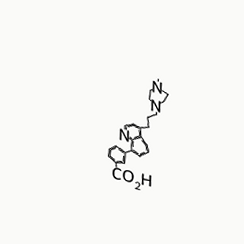 CN1CCN(CCCc2ccnc3c(-c4cccc(C(=O)O)c4)cccc23)CC1